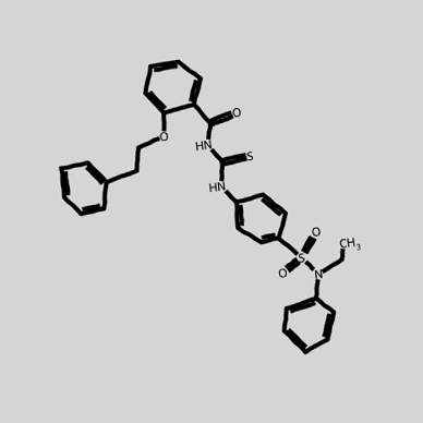 CCN(c1ccccc1)S(=O)(=O)c1ccc(NC(=S)NC(=O)c2ccccc2OCCc2ccccc2)cc1